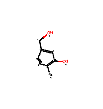 CC(=O)c1ccc(CO)cc1O